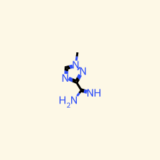 Cn1cnc(C(=N)N)n1